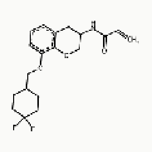 C=CC(=O)NC1COc2c(cccc2OCC2CCC(F)(F)CC2)C1